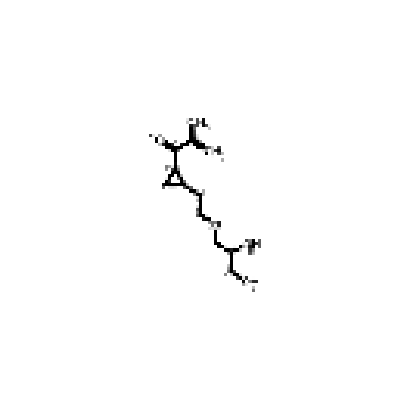 C=C(C)C(=O)[C@@H]1CC1CCNCC(O)CO